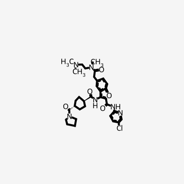 CN(C)CCN(C)C(=O)Cc1ccc2oc(C(=O)Nc3ccc(Cl)cn3)c(NC(=O)[C@H]3CC[C@H](C(=O)N4CCCC4)CC3)c2c1